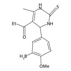 Bc1cc(C2NC(=S)NC(C)=C2C(=O)CC)ccc1OC